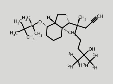 [2H]C([2H])([2H])C(O)(CCC[C@@](C)(CC#C)[C@H]1CC[C@H]2[C@@H](O[Si](C)(C)C(C)(C)C)CCC[C@]12C)C([2H])([2H])[2H]